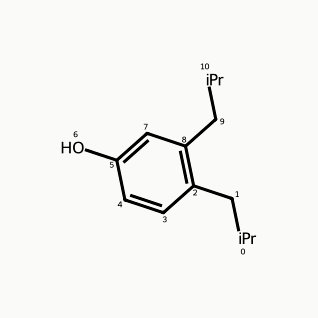 CC(C)Cc1ccc(O)cc1CC(C)C